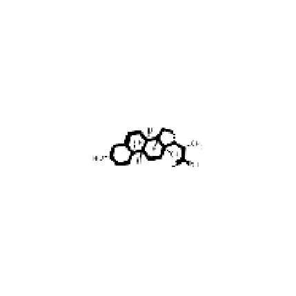 C[C@H](C(=O)O)[C@H]1CC[C@H]2[C@@H]3CC=C4C[C@@H](O)CC[C@]4(C)[C@H]3CC[C@]12C